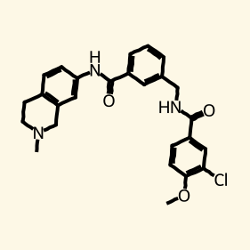 COc1ccc(C(=O)NCc2cccc(C(=O)Nc3ccc4c(c3)CN(C)CC4)c2)cc1Cl